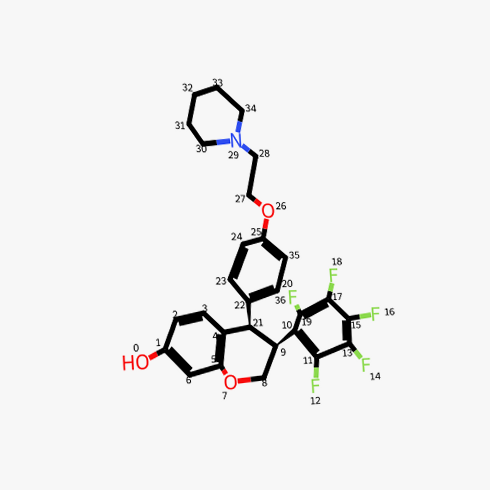 Oc1ccc2c(c1)OC[C@H](c1c(F)c(F)c(F)c(F)c1F)[C@@H]2c1ccc(OCCN2CCCCC2)cc1